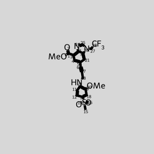 COC(=O)c1cc(C#CCNc2ccc(S(C)(=O)=O)cc2OC)cc2c1ncn2CC(F)(F)F